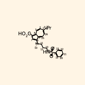 CC(C)c1ccc2c(C(=O)O)cc([C@@H](C)CCCNS(=O)(=O)c3ccccc3)c-2cc1